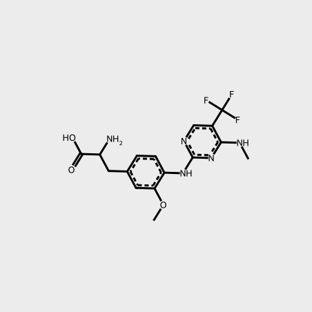 CNc1nc(Nc2ccc(CC(N)C(=O)O)cc2OC)ncc1C(F)(F)F